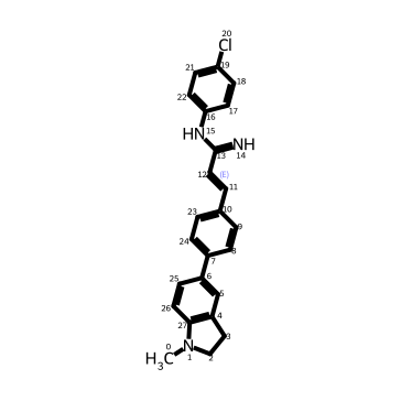 CN1CCc2cc(-c3ccc(/C=C/C(=N)Nc4ccc(Cl)cc4)cc3)ccc21